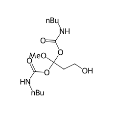 CCCCNC(=O)OC(CCO)(OC)OC(=O)NCCCC